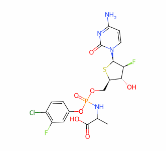 CC(NP(=O)(OC[C@H]1S[C@@H](n2ccc(N)nc2=O)[C@@H](F)[C@@H]1O)Oc1ccc(Cl)c(F)c1)C(=O)O